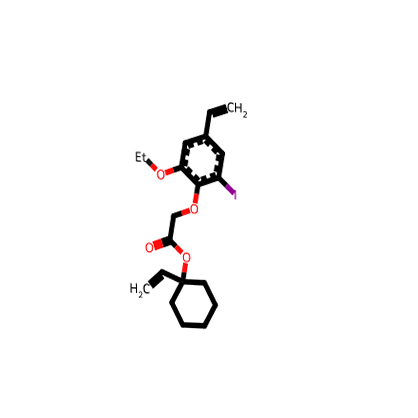 C=Cc1cc(I)c(OCC(=O)OC2(C=C)CCCCC2)c(OCC)c1